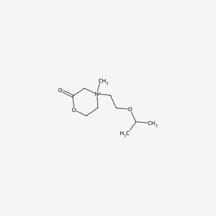 CC(C)OCC[N+]1(C)CCOC(=O)C1